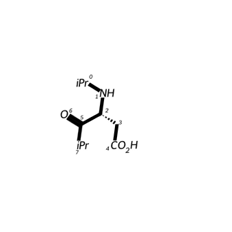 CC(C)N[C@H](CC(=O)O)C(=O)C(C)C